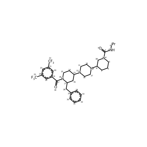 CC(C)NC(=O)N1CCCC(N2CCN(C3CCN(C(=O)c4cc(C(F)(F)F)cc(C(F)(F)F)c4)C(Cc4ccccc4)C3)CC2)C1